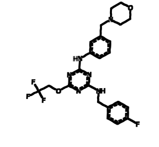 Fc1ccc(CNc2nc(Nc3cccc(CN4CCOCC4)c3)nc(OCC(F)(F)F)n2)cc1